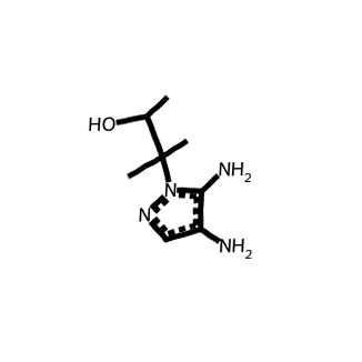 CC(O)C(C)(C)n1ncc(N)c1N